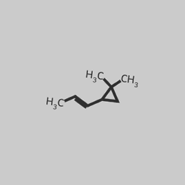 CC=CC1CC1(C)C